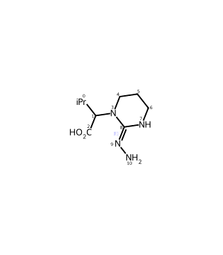 CC(C)C(C(=O)O)N1CCCN/C1=N\N